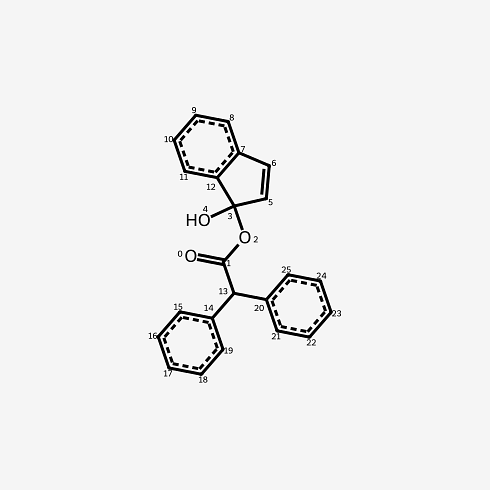 O=C(OC1(O)C=Cc2ccccc21)C(c1ccccc1)c1ccccc1